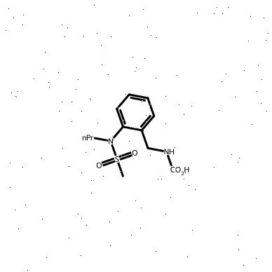 CCCN(c1ccccc1CNC(=O)O)S(C)(=O)=O